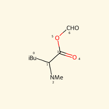 CCC(C)C(NC)C(=O)OC=O